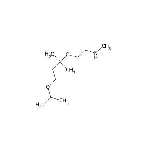 CNCCOC(C)(C)CCOC(C)C